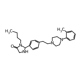 CCCCN1C(=O)CNC1c1ccc(CCN2CCN(c3ccccc3C)CC2)cc1